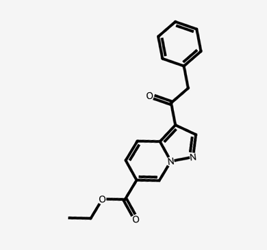 CCOC(=O)c1ccc2c(C(=O)Cc3ccccc3)cnn2c1